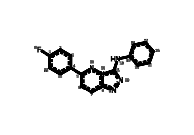 Fc1ccc(-c2ccc3nnc(Nc4ccccc4)n3n2)cc1